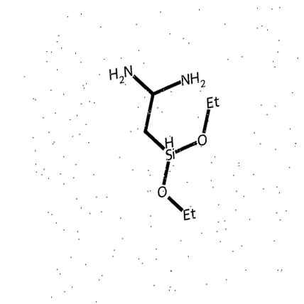 CCO[SiH](CC(N)N)OCC